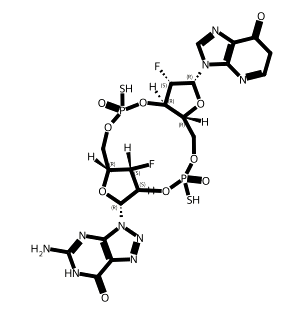 Nc1nc2c(nnn2[C@@H]2O[C@@H]3COP(=O)(S)O[C@H]4[C@H](F)[C@H](n5cnc6c5N=CCC6=O)O[C@@H]4COP(=O)(S)O[C@@H]2[C@H]3F)c(=O)[nH]1